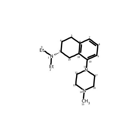 CCN(CC)[C@@H]1CCc2cccc(N3CCN(C)CC3)c2C1